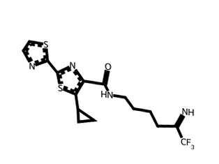 N=C(CCCCNC(=O)c1nc(-c2nccs2)sc1C1CC1)C(F)(F)F